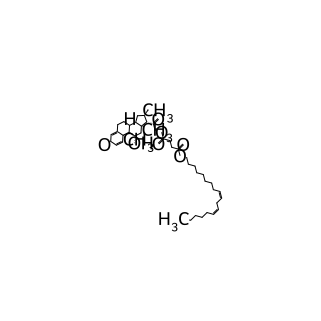 CCCCC/C=C\C/C=C\CCCCCCCCOC(=O)CCC(=O)OCC(=O)[C@H]1[C@H](C)CC2[C@@H]3CCC4=CC(=O)C=C[C@]4(C)C3[C@@H](O)C[C@@]21C